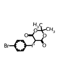 CC1(C)OC(=O)C([I+]c2ccc(Br)cc2)C(=O)O1